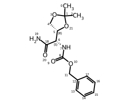 CC1(C)OC[C@@H]([C@H](NC(=O)OCc2ccccc2)C(N)=O)O1